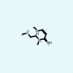 CN/C=C\C(=N)N(C)CCOC